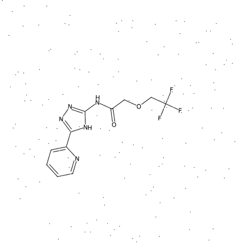 O=C(COCC(F)(F)F)Nc1nnc(-c2ccccn2)[nH]1